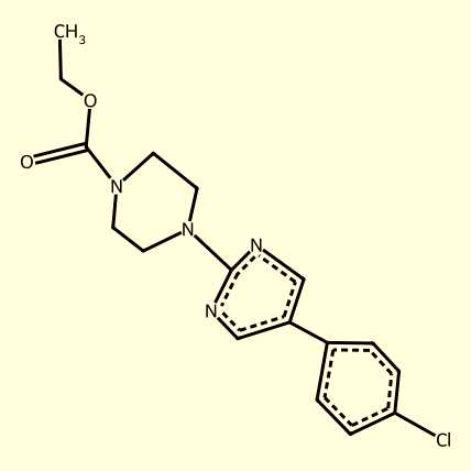 CCOC(=O)N1CCN(c2ncc(-c3ccc(Cl)cc3)cn2)CC1